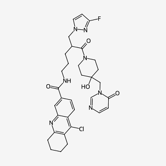 O=C(NCCCC(Cn1ccc(F)n1)C(=O)N1CCC(O)(Cn2cnccc2=O)CC1)c1ccc2c(Cl)c3c(nc2c1)CCCC3